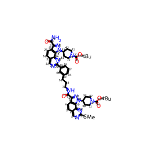 CSc1ncc2ccc3c(C(=O)NCCCc4cccc(-c5ncc6ccc7c(C(N)=O)nn(C8CCN(C(=O)OC(C)(C)C)CC8)c7c6n5)c4)nn(C4CCN(C(=O)OC(C)(C)C)CC4)c3c2n1